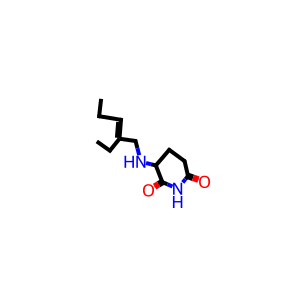 CC/C=C(\CC)CNC1CCC(=O)NC1=O